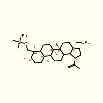 C=C(C)[C@@H]1CC[C@]2(COC(C)=O)CC[C@]3(C)C(CCC4[C@@]5(C)CC[C@H](C)[C@@](C)(CO[Si](C)(C)C(C)(C)C)C5CC[C@]43C)C12